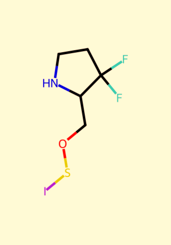 FC1(F)CCNC1COSI